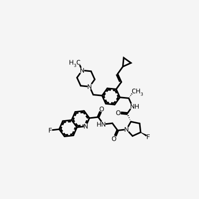 C[C@H](NC(=O)[C@@H]1C[C@@H](F)CN1C(=O)CNC(=O)c1ccc2cc(F)ccc2n1)c1ccc(CN2CCN(C)CC2)cc1/C=C/C1CC1